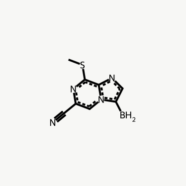 Bc1cnc2c(SC)nc(C#N)cn12